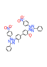 COc1cc(-c2ccc(-[n+]3nc(-c4ccccc4)nn3-c3ccc([N+](=O)[O-])cc3)c(C)c2)ccc1-[n+]1nc(-c2ccccc2)nn1-c1ccc([N+](=O)[O-])cc1